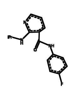 CC(C)Nc1ncccc1C(=O)Nc1ccc(F)cc1